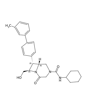 Cc1cccc(-c2ccc([C@H]3[C@H](CO)N4C(=O)CN(C(=O)NC5CCCCC5)C[C@@H]34)cc2)c1